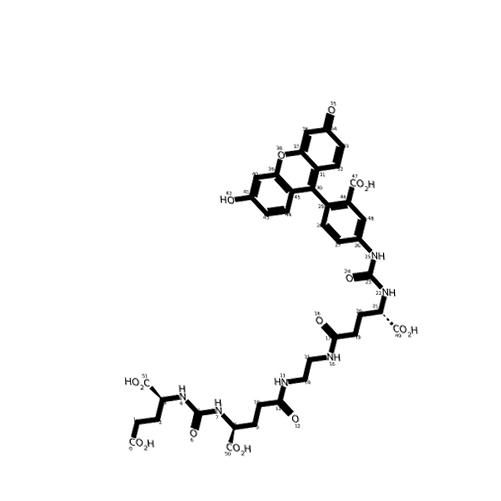 O=C(O)CC[C@H](NC(=O)N[C@@H](CCC(=O)NCCNC(=O)CC[C@H](NC(=O)Nc1ccc(-c2c3ccc(=O)cc-3oc3cc(O)ccc23)c(C(=O)O)c1)C(=O)O)C(=O)O)C(=O)O